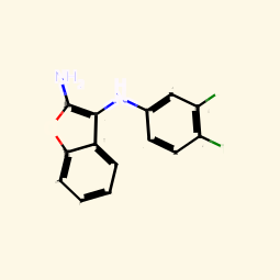 Nc1oc2ccccc2c1Nc1ccc(F)c(Cl)c1